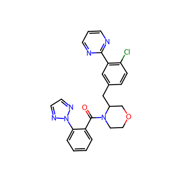 O=C(c1ccccc1-n1nccn1)N1CCOCC1Cc1ccc(Cl)c(-c2ncccn2)c1